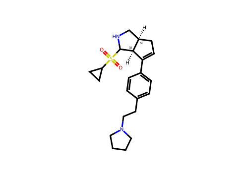 O=S(=O)(C1CC1)C1NC[C@H]2CC=C(c3ccc(CCN4CCCC4)cc3)[C@@H]12